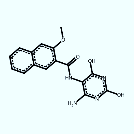 COc1cc2ccccc2cc1C(=O)Nc1c(N)nc(O)nc1O